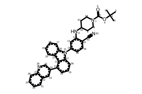 CC(C)(C)OC(=O)N1CCC(Nc2cc(-n3c4ccccc4c4c(-c5cnc6ccccc6c5)cccc43)ccc2C#N)CC1